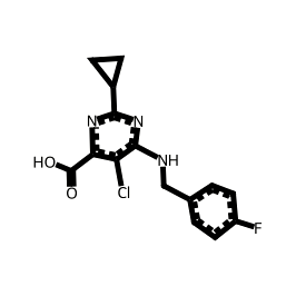 O=C(O)c1nc(C2CC2)nc(NCc2ccc(F)cc2)c1Cl